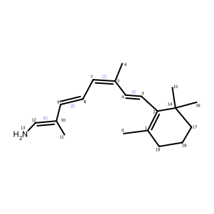 CC1=C(/C=C/C(C)=C\C=C\C(C)=C\N)C(C)(C)CCC1